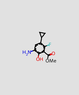 COC(=O)c1c(O)c(N)cc(C2CC2)c1F